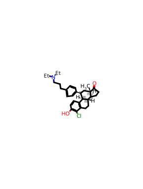 CCN(CC)CCCc1ccc([C@H]2C[C@]3(C)C(=O)CC[C@H]3[C@@H]3CCc4c(ccc(O)c4Cl)[C@H]32)cc1